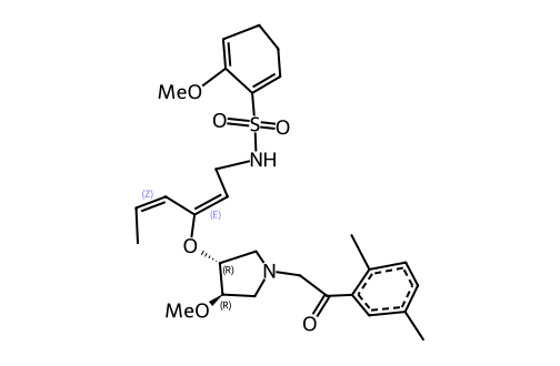 C/C=C\C(=C/CNS(=O)(=O)C1=CCCC=C1OC)O[C@@H]1CN(CC(=O)c2cc(C)ccc2C)C[C@H]1OC